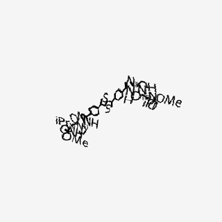 COC(=O)N[C@H](C(=O)N1CCC[C@H]1C1=NCC(c2ccc(-c3csc4c(-c5ccc(-c6cnc([C@@H]7CCCN7C(=O)[C@@H](NC(=O)OC)C(C)C)[nH]6)cc5)csc34)cc2)N1)C(C)C